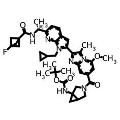 COc1cc(C(=O)N2CC3CC3(NC(=O)OC(C)(C)C)C2)cc2nc(-c3cc4ccc([C@@H](C)NC(=O)C56CC(F)(C5)C6)nc4n3CC3CC3)c(C)n12